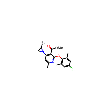 CCC1CN1c1cc(C)nc(Oc2c(C)cc(Cl)cc2C)c1C(=O)OC